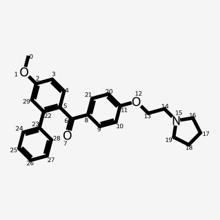 COc1ccc(C(=O)c2ccc(OCCN3CCCC3)cc2)c(-c2ccccc2)c1